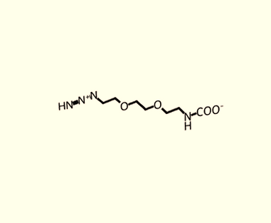 N=[N+]=NCCOCCOCCNC(=O)[O-]